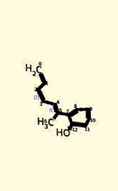 C=C/C=C\C=C(/C)c1ccccc1O